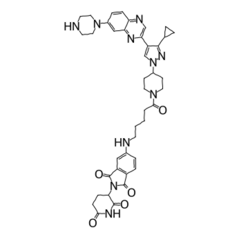 O=C1CCC(N2C(=O)c3ccc(NCCCCC(=O)N4CCC(n5cc(-c6cnc7ccc(N8CCNCC8)cc7n6)c(C6CC6)n5)CC4)cc3C2=O)C(=O)N1